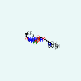 CC1(C)CC(CCCCOc2ccc(S(=O)(=O)NC(=O)c3ccc(-n4ccc(OCCC5CC5C(F)(F)F)n4)nc3Cl)cn2)CN1C(=O)O